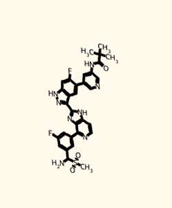 CC(C)(C)C(=O)Nc1cncc(-c2cc3c(-c4nc5c(-c6cc(F)cc(C(N)S(C)(=O)=O)c6)nccc5[nH]4)n[nH]c3cc2F)c1